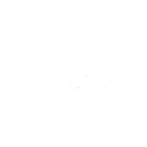 NCc1cc([C@@](O)(CNC(=O)c2ccc(OC3CC3)c(OC3CC3)c2)C2CC2)nc(-c2ccc(F)cc2)c1OCC(F)(F)F